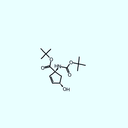 CC(C)(C)OC(=O)N[C@]1(C(=O)OC(C)(C)C)C=C[C@H](O)C1